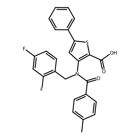 Cc1ccc(C(=O)N(Cc2ccc(F)cc2F)c2cc(-c3ccccc3)sc2C(=O)O)cc1